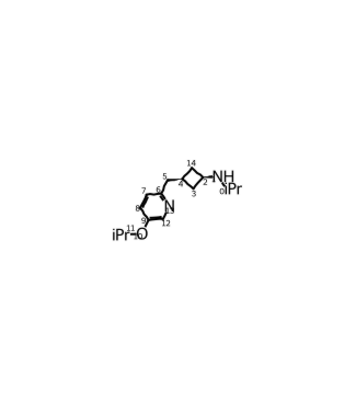 CC(C)N[C@H]1C[C@@H](Cc2ccc(OC(C)C)cn2)C1